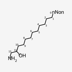 CCCCCCCCCCCCCCCCCCCC(O)CN